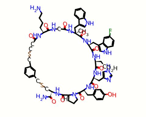 C[C@@]1(Cc2c[nH]c3ccccc23)NC(=O)CNC(=O)[C@H](CCCCN)NC(=O)CCSCc2cccc(c2)CSC[C@@H](C(N)=O)NC(=O)[C@@H]2CCCN2C(=O)[C@H](Cc2ccc(O)cc2)NC(=O)[C@H](Cc2c[nH]cn2)NC(=O)[C@H](CC(=O)O)NC(=O)[C@H](Cc2c[nH]c3ccc(F)cc23)NC1=O